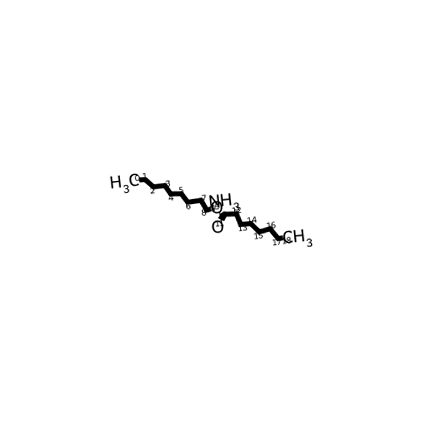 CCCCCCCCCOC(=O)CCCCCCC.N